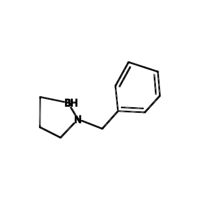 B1CCCN1Cc1ccccc1